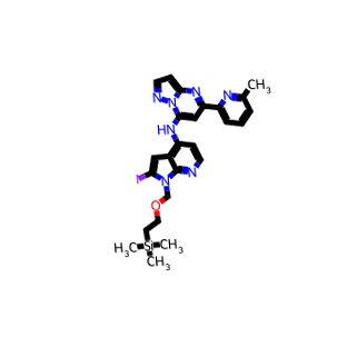 Cc1cccc(-c2cc(Nc3ccnc4c3cc(I)n4COCC[Si](C)(C)C)n3nccc3n2)n1